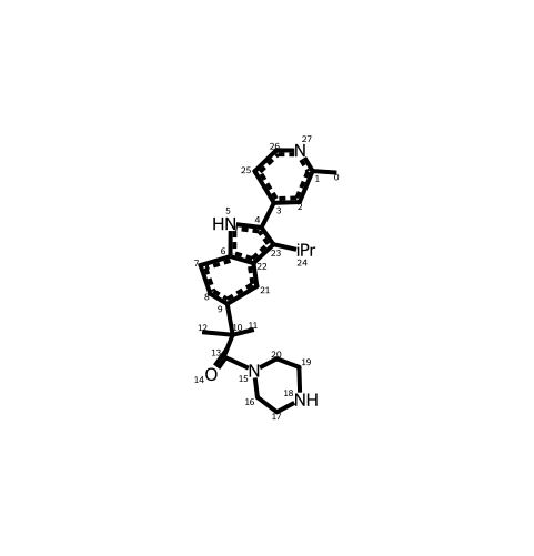 Cc1cc(-c2[nH]c3ccc(C(C)(C)C(=O)N4CCNCC4)cc3c2C(C)C)ccn1